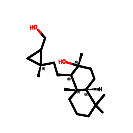 CC1(C)CCC[C@]2(C)[C@@H](CC[C@]3(C)CC3CO)[C@](C)(O)CC[C@@H]12